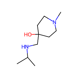 CC(C)NCC1(O)CCN(C)CC1